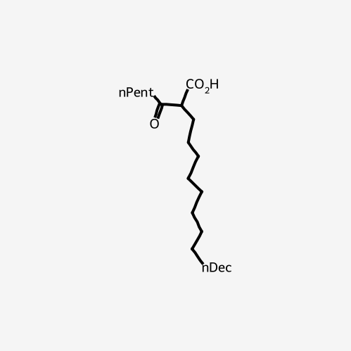 CCCCCCCCCCCCCCCCCCC(C(=O)O)C(=O)CCCCC